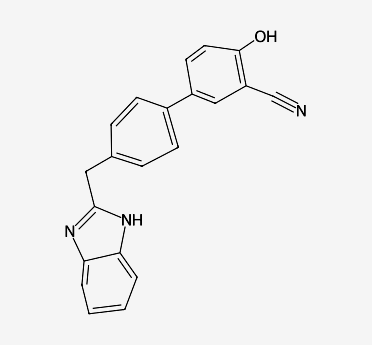 N#Cc1cc(-c2ccc(Cc3nc4ccccc4[nH]3)cc2)ccc1O